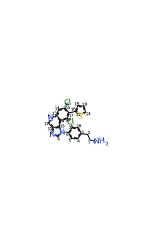 NCCc1ccc(-n2cnc3cnc4cc(Cl)c(-c5cccs5)cc4c32)c(Cl)c1